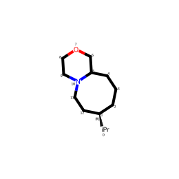 CC(C)[C@@H]1CCCC2COCCN2CC1